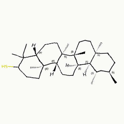 C[C@@H]1[C@H]2[C@H]3CC[C@@H]4[C@@]5(C)CCC(S)C(C)(C)[C@@H]5CC[C@@]4(C)[C@]3(C)CC[C@@]2(C)CC[C@H]1C